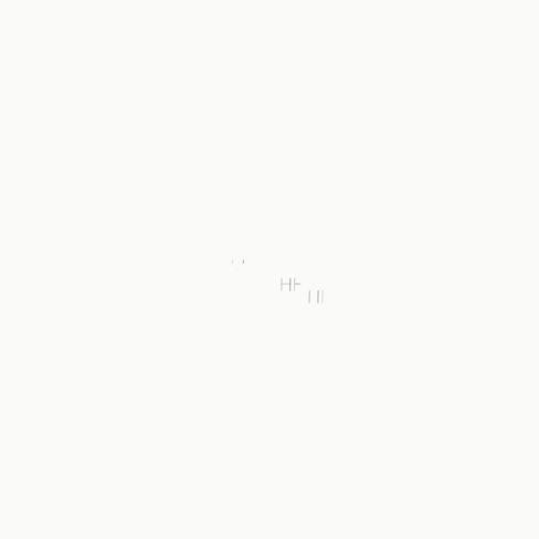 CCCCOCCCC.F.F